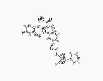 Cc1oc(-c2ccccc2)nc1CCOc1ccc(C(C)C(NCc2ccc(F)cc2F)C(=O)O)cc1